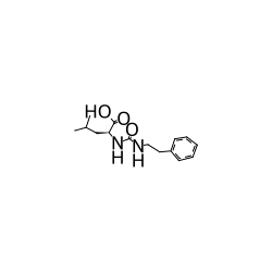 CC(C)C[C@H](NC(=O)NCCc1ccccc1)C(=O)O